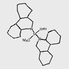 CO[Si](OC)(N1CC2CCCCC2C2CCCCC21)N1CC2CCCCC2C2CCCCC21